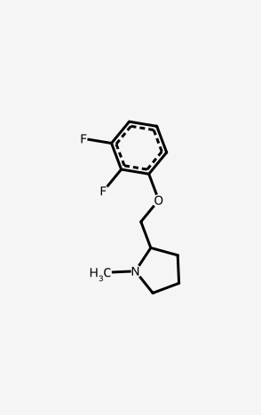 CN1CCCC1COc1cccc(F)c1F